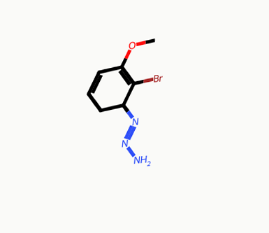 COC1=C(Br)C(N=NN)CC=C1